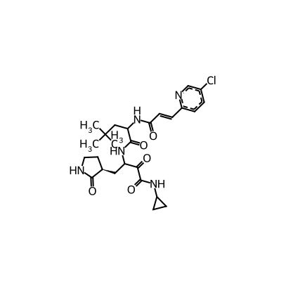 CC(C)(C)CC(NC(=O)/C=C/c1ccc(Cl)cn1)C(=O)NC(C[C@@H]1CCNC1=O)C(=O)C(=O)NC1CC1